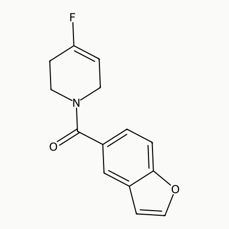 O=C(c1ccc2occc2c1)N1CC=C(F)CC1